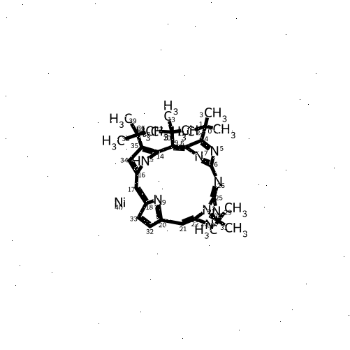 CC(C)(C)C1=Nc2nc1c(C(C)(C)C)c1[nH]c(cc3nc(cc4nnc(n2)n4C(C)(C)C)C=C3)cc1C(C)(C)C.[Ni]